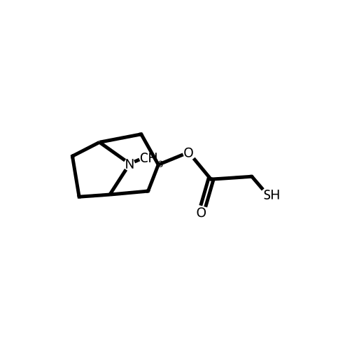 CN1C2CCC1CC(OC(=O)CS)C2